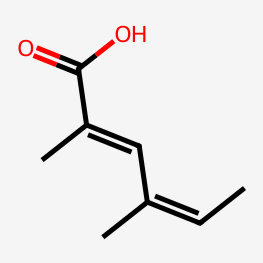 C/C=C(C)\C=C(/C)C(=O)O